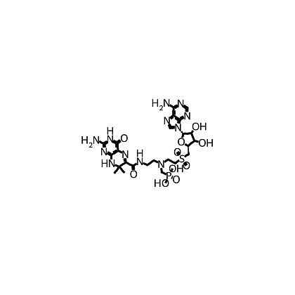 CC1(C)Nc2nc(N)[nH]c(=O)c2N=C1C(=O)NCCN(CCS(=O)(=O)C[C@H]1O[C@@H](n2cnc3c(N)ncnc32)C(O)C1O)CP(=O)(O)O